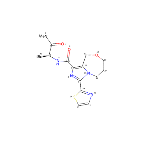 CNC(=O)[C@@H](NC(=O)c1nc(-c2nccs2)n2c1COCCC2)C(C)(C)C